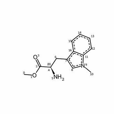 COC(=O)[C@H](N)Cc1cn(C)c2ccccc12